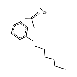 CC(C)=O.CCCCCC.CO.Cc1ccccc1